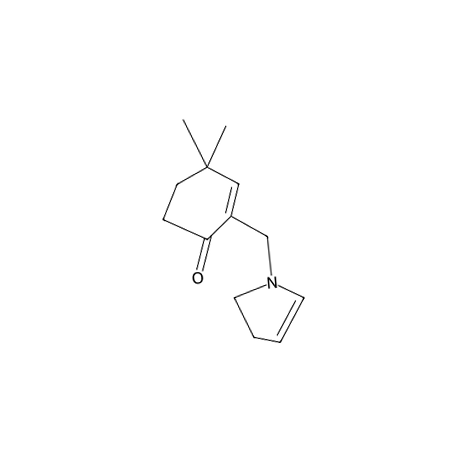 CC1(C)C=C(CN2C=CCC2)C(=O)CC1